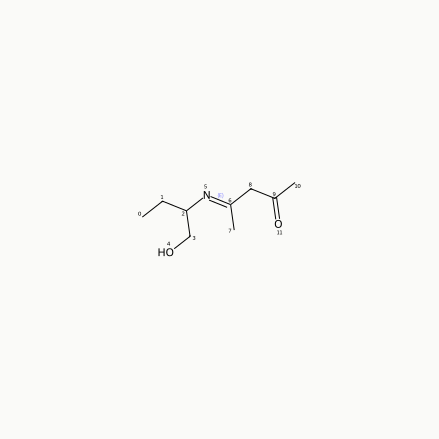 CCC(CO)/N=C(\C)CC(C)=O